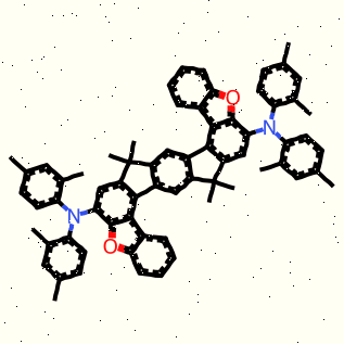 Cc1ccc(N(c2ccc(C)cc2C)c2cc3c(c4c2oc2ccccc24)-c2cc4c(cc2C3(C)C)-c2c(cc(N(c3ccc(C)cc3C)c3ccc(C)cc3C)c3oc5ccccc5c23)C4(C)C)c(C)c1